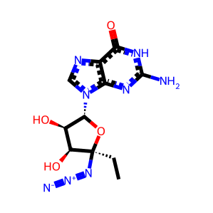 CC[C@@]1(N=[N+]=[N-])O[C@@H](n2cnc3c(=O)[nH]c(N)nc32)[C@H](O)[C@@H]1O